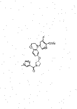 COc1ncc(N2CCOc3ccc(OC4CCN(C(=O)c5cn(C)cn5)C4)cc32)cc1F